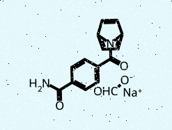 NC(=O)c1ccc(C(=O)n2c3ccc2cc3)cc1.O=C[O-].[Na+]